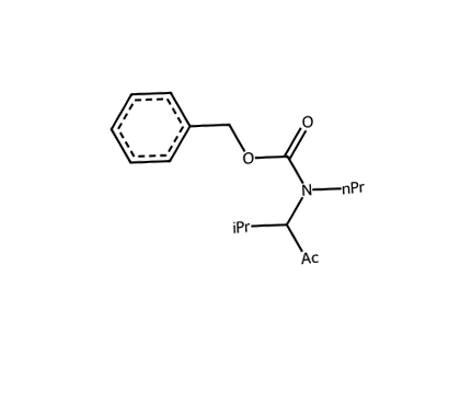 CCCN(C(=O)OCc1ccccc1)C(C(C)=O)C(C)C